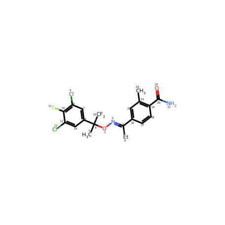 CC/C(=N\OC(C)(c1cc(Cl)c(F)c(Cl)c1)C(F)(F)F)c1ccc(C(N)=O)c(C)c1